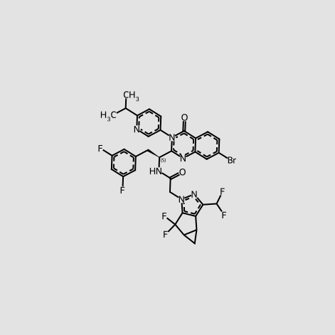 CC(C)c1ccc(-n2c([C@H](Cc3cc(F)cc(F)c3)NC(=O)Cn3nc(C(F)F)c4c3C(F)(F)C3CC43)nc3cc(Br)ccc3c2=O)cn1